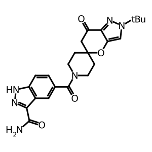 CC(C)(C)n1cc2c(n1)C(=O)CC1(CCN(C(=O)c3ccc4[nH]nc(C(N)=O)c4c3)CC1)O2